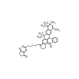 CC1=CC(C)(C)N(C)c2cc3c(cc21)C(c1ccccc1C(=O)[O-])=c1cc2c(cc1C3(C)C)=[N+](CCCCCC(=O)ON1C(=O)CCC1=O)CCC2